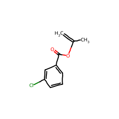 C=C(C)OC(=O)c1cccc(Cl)c1